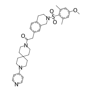 COc1cc(C)c(S(=O)(=O)N2CCc3ccc(CC(=O)N4CCC5(CC4)CCN(c4ccncc4)CC5)cc3C2)c(C)c1